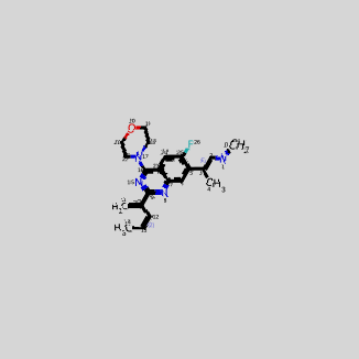 C=N/C=C(\C)c1cc2nc(C(=C)/C=C\C)nc(N3CCOCC3)c2cc1F